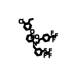 CCc1cc(Oc2cccc(N(Cc3cccc(SC(F)(F)F)c3)CC(O)c3ccc(C(F)(F)F)cc3)c2)ccc1Cl